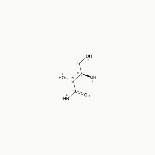 [NH]C(=O)[C@H](O)[C@H](O)CO